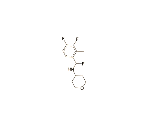 Cc1c(C(F)NC2CCOCC2)ccc(F)c1F